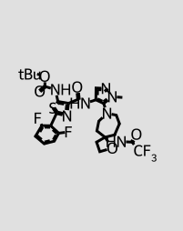 Cn1ncc(NC(=O)c2nc(-c3c(F)cccc3F)sc2NC(=O)OC(C)(C)C)c1N1CC[C@@H](NC(=O)C(F)(F)F)C2(CCO2)CC1